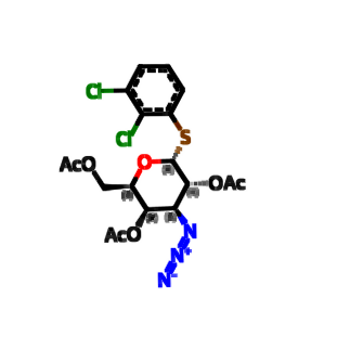 CC(=O)OC[C@H]1O[C@H](Sc2cccc(Cl)c2Cl)[C@H](OC(C)=O)[C@@H](N=[N+]=[N-])[C@H]1OC(C)=O